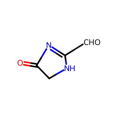 O=CC1=NC(=O)CN1